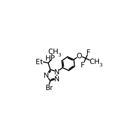 CCC(PC)c1nc(Br)nn1-c1ccc(OC(C)(F)F)cc1